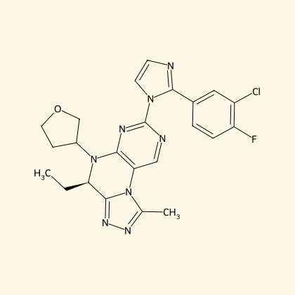 CC[C@@H]1c2nnc(C)n2-c2cnc(-n3ccnc3-c3ccc(F)c(Cl)c3)nc2N1C1CCOC1